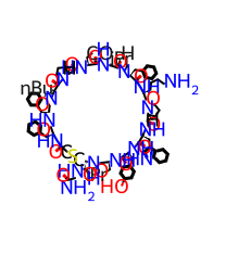 CCCC[C@H]1C(=O)N2CCC[C@@H]2C(=O)N[C@@H](CC(=O)O)C(=O)N[C@@H](C(C)C)C(=O)N(C)[C@@H](Cc2ccccc2)C(=O)N[C@@H](CCCCN)C(=O)N2CCC[C@@H]2C(=O)N[C@@H](Cc2c[nH]c3ccccc23)C(=O)N[C@@H](Cc2ccc(O)cc2)C(=O)N[C@@H](CC(C)C)C(=O)N[C@H](C(=O)NCC(N)=O)CSCC(=O)N[C@@H](Cc2ccccc2)C(=O)N[C@@H](Cc2ccccc2)C(=O)N1C